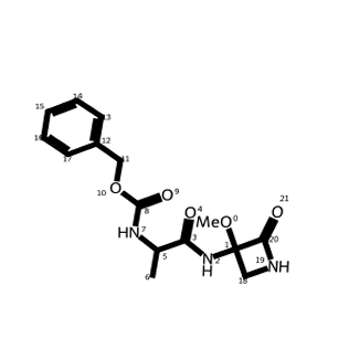 COC1(NC(=O)C(C)NC(=O)OCc2ccccc2)CNC1=O